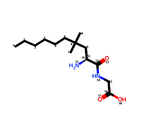 CCCCCCC(C)(C)C[C@H](N)C(=O)NCC(=O)O